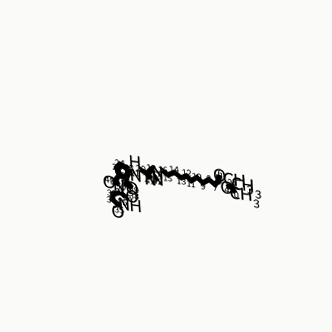 CC(C)(C)OC(=O)CCCCCCCCCCn1cc(CNc2cccc3c2C(=O)N(C2CCC(=O)NC2=O)C3=O)nn1